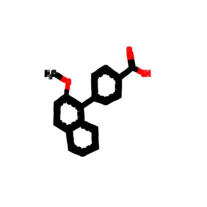 COc1ccc2ccccc2c1-c1ccc(C(=O)O)cc1